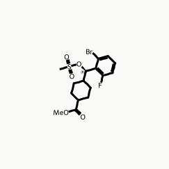 COC(=O)C1CCC([C@@H](OS(C)(=O)=O)c2c(F)cccc2Br)CC1